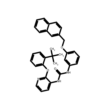 CC(C)(C)c1ccccc1Oc1ncccc1NC(=O)Nc1cccc(OCc2ccc3ccccc3c2)c1